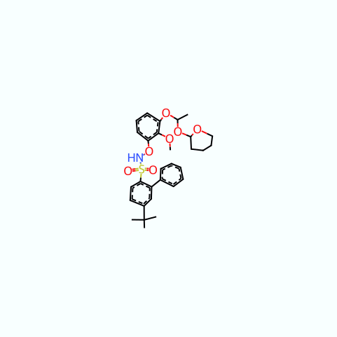 COc1c(ONS(=O)(=O)c2ccc(C(C)(C)C)cc2-c2ccccc2)cccc1OC(C)OC1CCCCO1